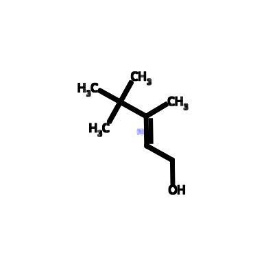 C/C(=C\CO)C(C)(C)C